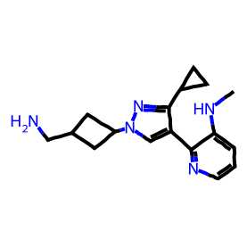 CNc1cccnc1-c1cn(C2CC(CN)C2)nc1C1CC1